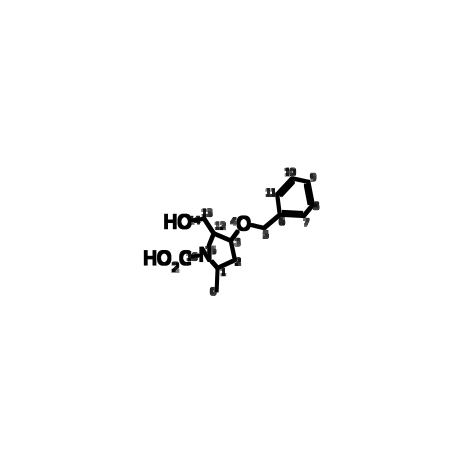 CC1CC(OCc2ccccc2)C(CO)N1C(=O)O